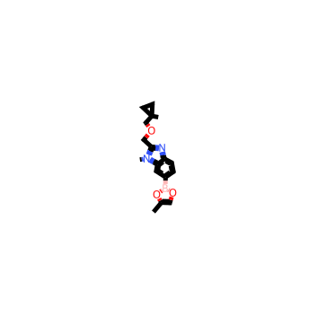 CC1=COB(c2ccc3nc(COCC4(C)CC4)n(C)c3c2)O1